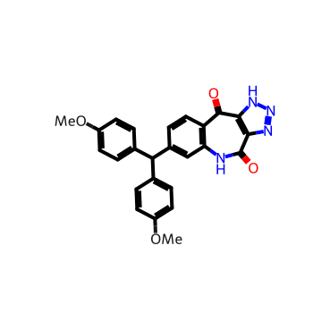 COc1ccc(C(c2ccc(OC)cc2)c2ccc3c(=O)c4[nH]nnc4c(=O)[nH]c3c2)cc1